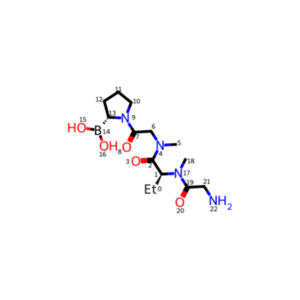 CC[C@@H](C(=O)N(C)CC(=O)N1CCC[C@H]1B(O)O)N(C)C(=O)CN